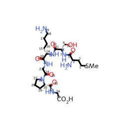 CSCC[C@H](N)C(=O)N[C@@H](CO)C(=O)N[C@@H](CCCCN)C(=O)NCC(=O)N1CCC[C@H]1C(=O)NCC(=O)O